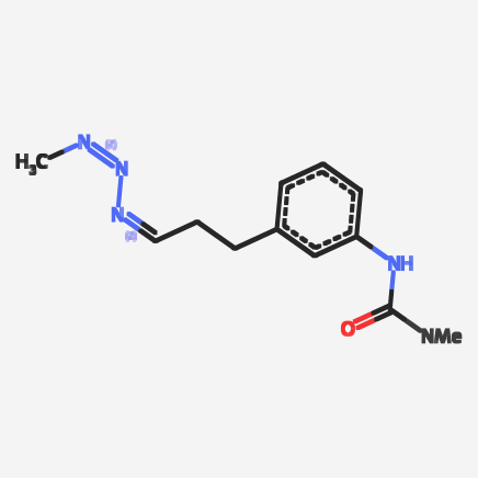 C/N=N\N=C/CCc1cccc(NC(=O)NC)c1